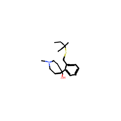 CCC(C)(C)SCc1ccccc1C1(O)CCN(C)CC1